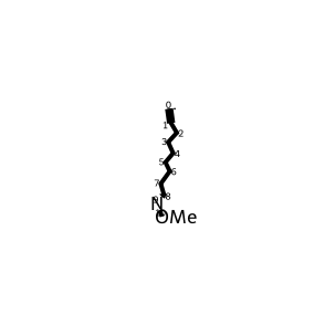 [C]#CCCCCCCC=NOC